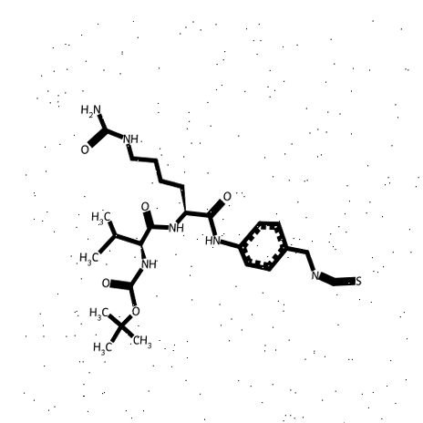 CC(C)[C@H](NC(=O)OC(C)(C)C)C(=O)N[C@@H](CCCCNC(N)=O)C(=O)Nc1ccc(CN=C=S)cc1